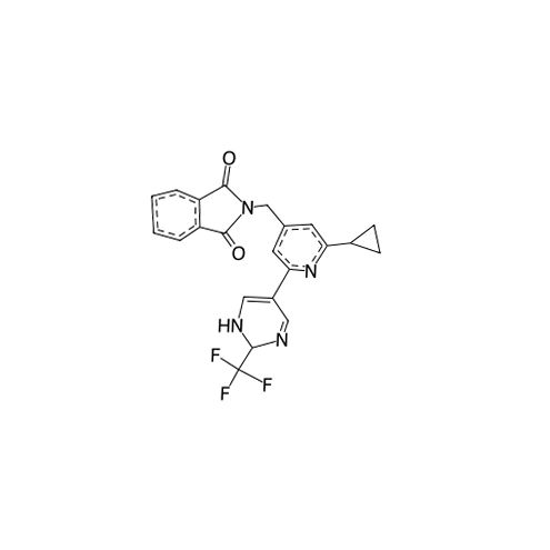 O=C1c2ccccc2C(=O)N1Cc1cc(C2=CNC(C(F)(F)F)N=C2)nc(C2CC2)c1